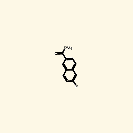 COC(=O)c1ccc2cc(F)ccc2c1